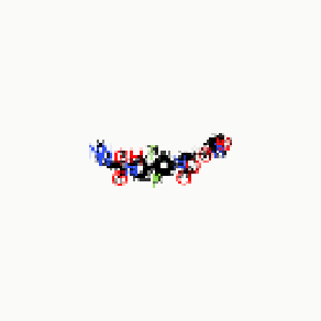 O=C([C@H](O)Cn1cncn1)N1CC=C(c2c(F)cc(N3C[C@H](COc4ccon4)OC3=O)cc2F)CC1